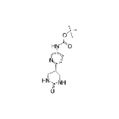 CC(C)(C)OC(=O)Nc1ccc(C2CNC(=O)NC2)nc1